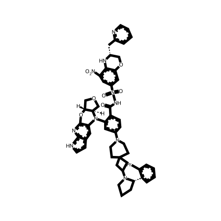 CC(C)c1ccccc1[C@@H]1CCCN1C1CC2(CCN(c3ccc(C(=O)NS(=O)(=O)c4cc5c(c([N+](=O)[O-])c4)N[C@H](Cc4ccccn4)CO5)c(N4c5cc6cc[nH]c6nc5O[C@@H]5COC[C@H]54)c3)CC2)C1